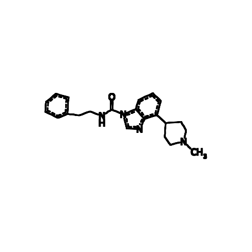 CN1CCC(c2cccc3c2ncn3C(=O)NCCc2ccccc2)CC1